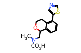 CN(CC1OCCc2c(-c3cncs3)cccc21)C(=O)O